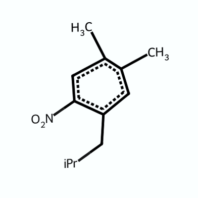 Cc1cc(CC(C)C)c([N+](=O)[O-])cc1C